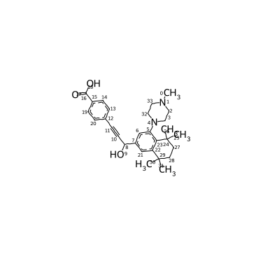 CN1CCN(c2cc(C(O)C#Cc3ccc(C(=O)O)cc3)cc3c2C(C)(C)CCC3(C)C)CC1